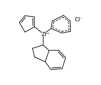 C1=CC[C]([Zr+]([c]2ccccc2)[CH]2CCC3C=CC=CC32)=C1.[Cl-]